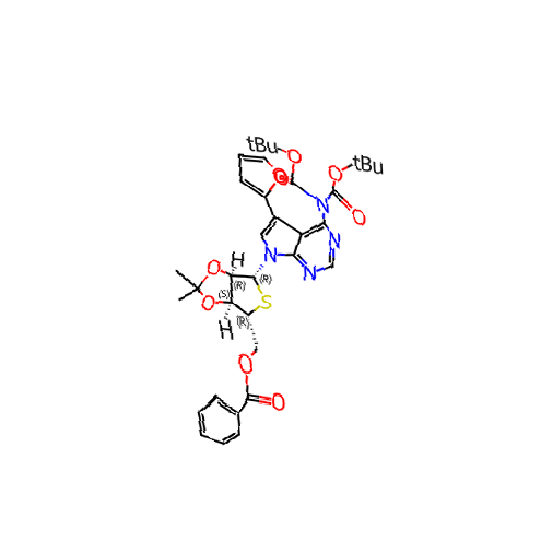 CC(C)(C)OC(=O)N(C(=O)OC(C)(C)C)c1ncnc2c1c(-c1ccco1)cn2[C@@H]1S[C@H](COC(=O)c2ccccc2)[C@H]2OC(C)(C)O[C@H]21